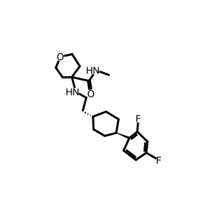 CNC(=O)C1(NCC[C@H]2CC[C@H](c3ccc(F)cc3F)CC2)CCOCC1